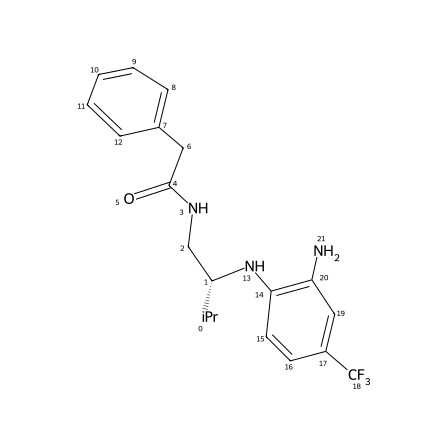 CC(C)[C@H](CNC(=O)Cc1ccccc1)Nc1ccc(C(F)(F)F)cc1N